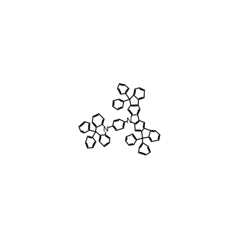 c1ccc(C2(c3ccccc3)c3ccccc3-c3cc4c5cc6c(cc5n(-c5ccc(N7c8ccccc8C(c8ccccc8)(c8ccccc8)c8ccccc87)cc5)c4cc32)C(c2ccccc2)(c2ccccc2)c2ccccc2-6)cc1